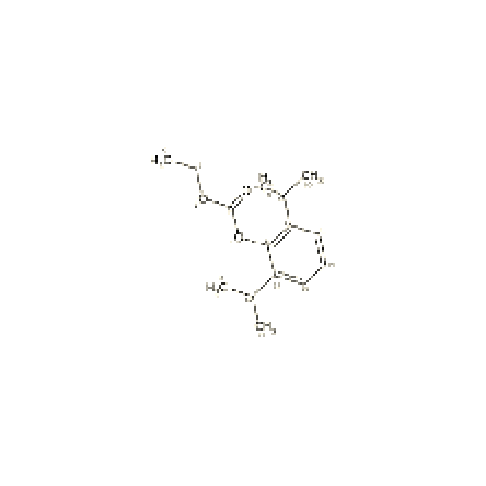 CCOC(=O)Oc1c(C(C)C)cccc1C(C)C